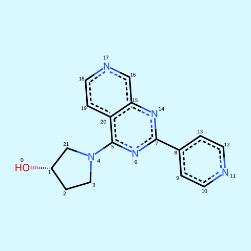 O[C@H]1CCN(c2nc(-c3ccncc3)nc3cnccc23)C1